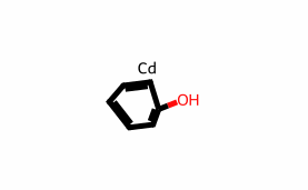 Oc1ccccc1.[Cd]